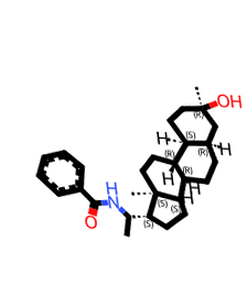 CC(NC(=O)c1ccccc1)[C@H]1CC[C@H]2[C@@H]3CC[C@@H]4C[C@](C)(O)CC[C@@H]4[C@H]3CC[C@]12C